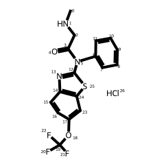 CNCC(=O)N(c1ccccc1)c1nc2ccc(OC(F)(F)F)cc2s1.Cl